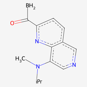 BC(=O)c1ccc2cncc(N(C)C(C)C)c2n1